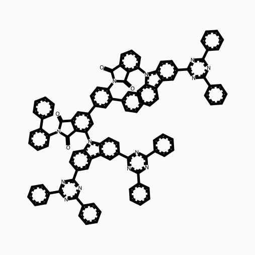 O=C1c2cccc(-n3c4ccccc4c4cc(-c5nc(-c6ccccc6)nc(-c6ccccc6)n5)ccc43)c2C(=O)N1c1ccc(-c2cc3c(c(-n4c5ccc(-c6nc(-c7ccccc7)nc(-c7ccccc7)n6)cc5c5cc(-c6nc(-c7ccccc7)nc(-c7ccccc7)n6)ccc54)c2)C(=O)N(c2ccccc2-c2ccccc2)C3=O)cc1-c1ccccc1